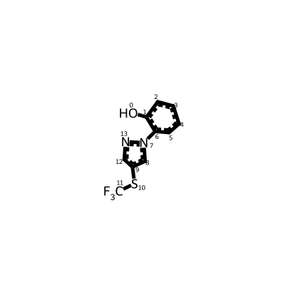 Oc1ccccc1-n1cc(SC(F)(F)F)cn1